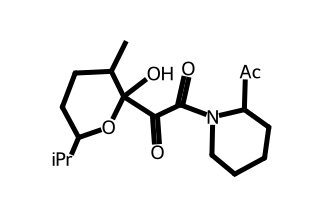 CC(=O)C1CCCCN1C(=O)C(=O)C1(O)OC(C(C)C)CCC1C